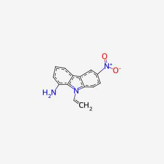 C=Cn1c2ccc([N+](=O)[O-])cc2c2cccc(N)c21